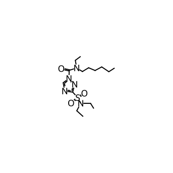 CCCCCCN(CC)C(=O)n1cnc(S(=O)(=O)N(CC)CC)n1